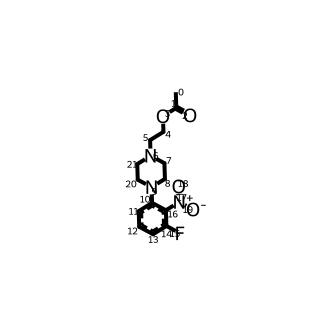 CC(=O)OCCN1CCN(c2cccc(F)c2[N+](=O)[O-])CC1